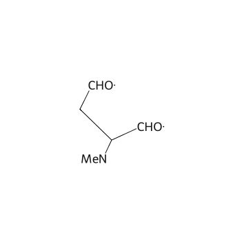 CNC([C]=O)C[C]=O